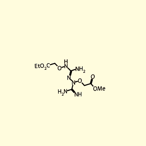 CCOC(=O)CONC(N)=NN(OCC(=O)OC)C(=N)N